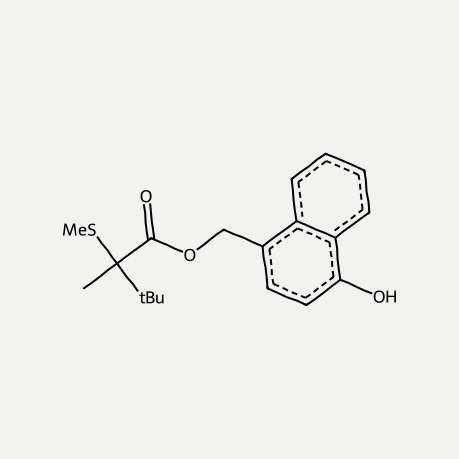 CSC(C)(C(=O)OCc1ccc(O)c2ccccc12)C(C)(C)C